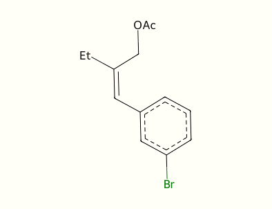 CCC(=Cc1cccc(Br)c1)COC(C)=O